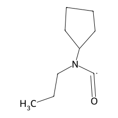 CCCN([C]=O)C1CCCC1